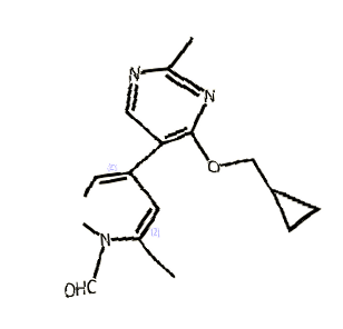 C/C=C(\C=C(\C)N(C)C=O)c1cnc(C)nc1OCC1CC1